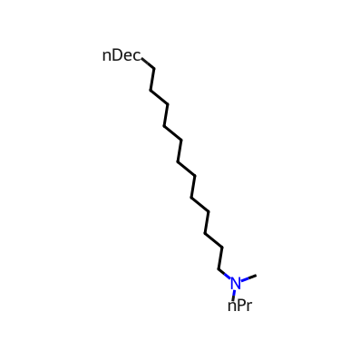 CCCCCCCCCCCCCCCCCCCCCCN(C)CCC